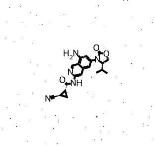 CC(C)[C@@H]1COC(=O)N1c1cc(N)c2cnc(NC(=O)[C@@H]3C[C@H]3C#N)cc2c1